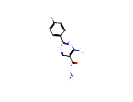 CCNC(=O)c1cnc(-c2ccc(Cl)cc2)nc1N